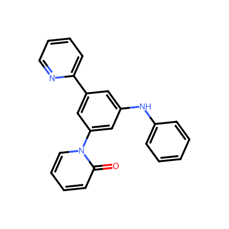 O=c1ccccn1-c1cc(Nc2ccccc2)cc(-c2ccccn2)c1